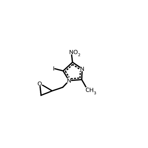 Cc1nc([N+](=O)[O-])c(I)n1CC1CO1